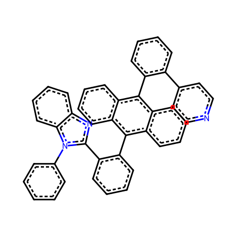 c1ccc(-n2c(-c3ccccc3-c3c4ccccc4c(-c4ccccc4-c4ccncc4)c4ccccc34)nc3ccccc32)cc1